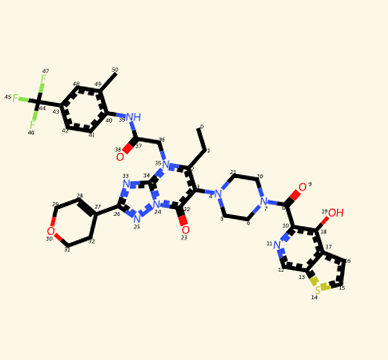 CCc1c(N2CCN(C(=O)c3ncc4sccc4c3O)CC2)c(=O)n2nc(C3=CCOCC3)nc2n1CC(=O)Nc1ccc(C(F)(F)F)cc1C